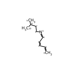 C=C/C=C\C=N/CCC(C)C